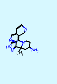 CC1(c2cc[nH]n2)CC(N)CCN1c1nncc2ccncc12